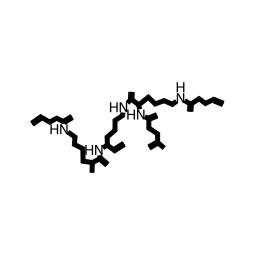 C=CCCC(=C)NCCCCC(C)C(=C)NC(C=C)CCCCNC(=C)C(CCCCNC(=C)CCC=C)NC(=C)CCC(=C)C